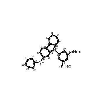 CCCCCCc1cc(CCCCCC)cc(-n2c3ccccc3c3ccc(Nc4ccccc4)cc32)c1